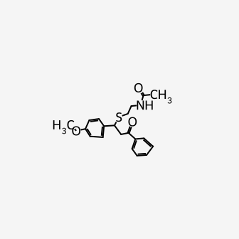 COc1ccc(C(CC(=O)c2ccccc2)SCCNC(C)=O)cc1